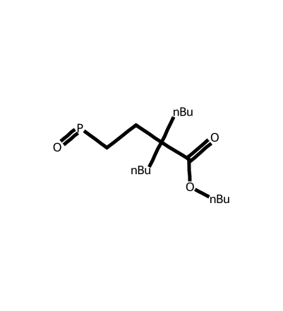 CCCCOC(=O)C(CCCC)(CCCC)CCP=O